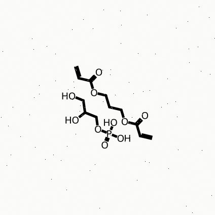 C=CC(=O)OCCCOC(=O)C=C.O=P(O)(O)OCC(O)CO